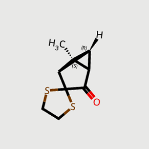 C[C@]12C3C(=O)C4(SCCS4)C1[C@@H]32